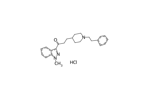 Cl.Cn1nc(C(=O)CCC2CCN(CCc3ccccc3)CC2)c2ccccc21